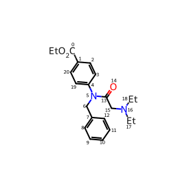 CCOC(=O)c1ccc(N(Cc2ccccc2)C(=O)CN(CC)CC)cc1